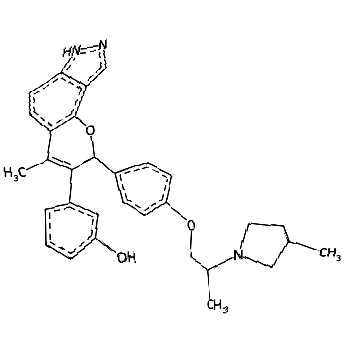 CC1=C(c2cccc(O)c2)C(c2ccc(OCC(C)N3CCC(C)C3)cc2)Oc2c1ccc1[nH]ncc21